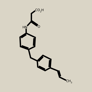 C/C=C/c1ccc(Cc2ccc(NC(=O)CC(=O)O)cc2)cc1